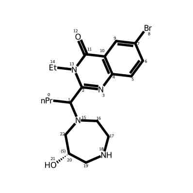 CCCC(c1nc2ccc(Br)cc2c(=O)n1CC)N1CCNC[C@H](O)C1